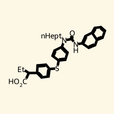 CCCCCCCN(C(=O)Nc1ccc2ccccc2c1)c1ccc(Sc2ccc(C(CC)C(=O)O)cc2)cc1